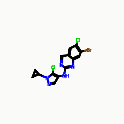 Clc1cc2cnc(Nc3cnn(C4CC4)c3Cl)nc2cc1Br